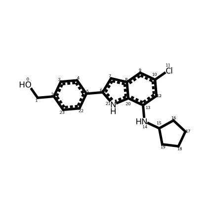 OCc1ccc(-c2cc3cc(Cl)cc(NC4CCCC4)c3[nH]2)cc1